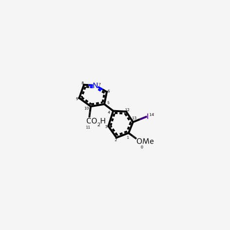 COc1ccc(-c2cnccc2C(=O)O)cc1I